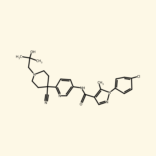 Cc1c(C(=O)Nc2ccc(C3(C#N)CCN(CC(C)(C)O)CC3)nc2)cnn1-c1ccc(Cl)cc1